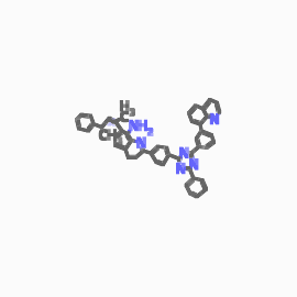 C/C(=C/C(C)c1ccccc1)c1ccc2ccc(-c3ccc(-c4nc(-c5ccccc5)nc(-c5cccc(-c6cccc7cccnc67)c5)n4)cc3)nc2c1N